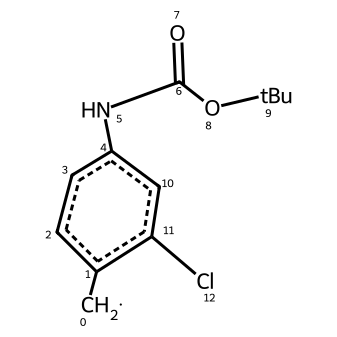 [CH2]c1ccc(NC(=O)OC(C)(C)C)cc1Cl